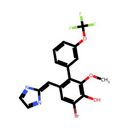 COc1c(O)c(Br)cc(C=C2N=CC=N2)c1-c1cccc(OC(F)(F)F)c1